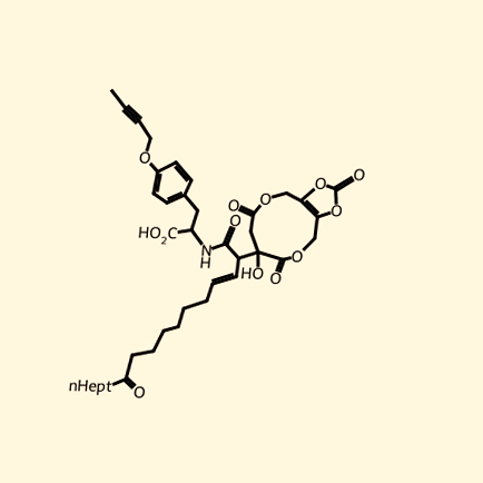 CC#CCOc1ccc(CC(NC(=O)C(C=CCCCCCCC(=O)CCCCCCC)C2(O)CC(=O)OCc3oc(=O)oc3COC2=O)C(=O)O)cc1